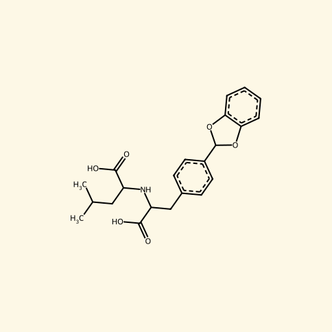 CC(C)CC(NC(Cc1ccc(C2Oc3ccccc3O2)cc1)C(=O)O)C(=O)O